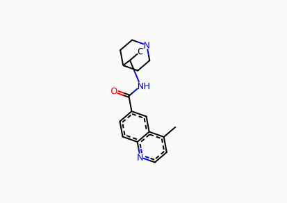 Cc1ccnc2ccc(C(=O)NC3CN4CCC3CC4)cc12